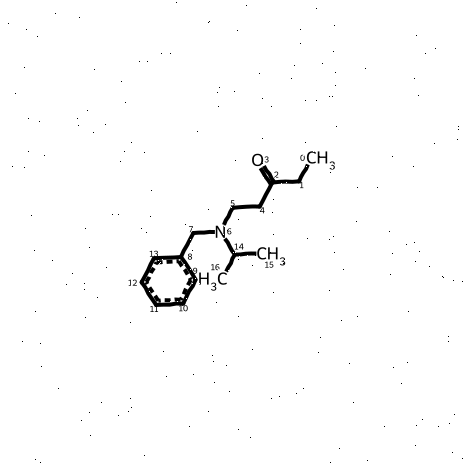 CCC(=O)CCN(Cc1ccccc1)C(C)C